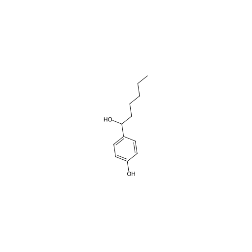 CCCCCC(O)c1ccc(O)cc1